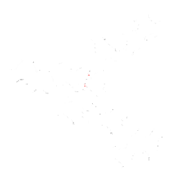 c1cc(-c2ccc(N(c3ccc(-c4cc5ccccc5c5ccccc45)cc3)c3ccccc3-c3cccc4oc5c6ccccc6ccc5c34)cc2)cc(-c2ccc3ccccc3c2)c1